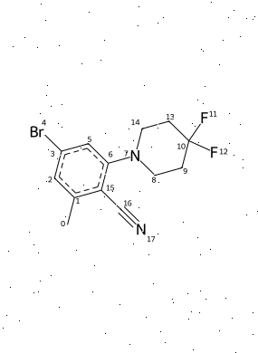 Cc1cc(Br)cc(N2CCC(F)(F)CC2)c1C#N